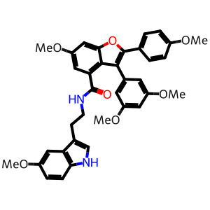 COc1ccc(-c2oc3cc(OC)cc(C(=O)NCCc4c[nH]c5ccc(OC)cc45)c3c2-c2cc(OC)cc(OC)c2)cc1